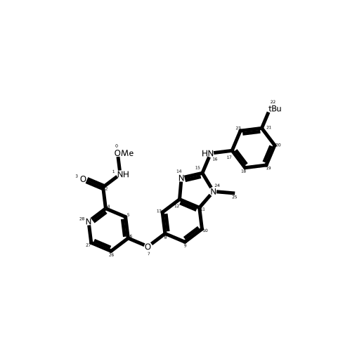 CONC(=O)c1cc(Oc2ccc3c(c2)nc(Nc2cccc(C(C)(C)C)c2)n3C)ccn1